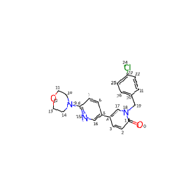 O=c1ccc(-c2ccc(N3CCOCC3)nc2)cn1Cc1ccc(Cl)cc1